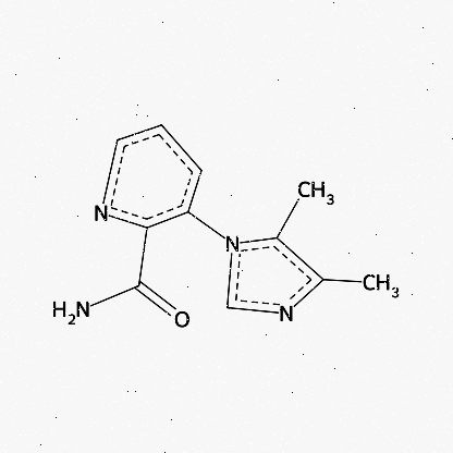 Cc1ncn(-c2cccnc2C(N)=O)c1C